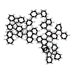 c1ccc(-c2ccccc2-c2ccc(N(c3ccc4c(c3)C3(c5ccccc5-c5ccccc53)c3ccccc3-4)c3c(-c4cccc(-c5cccc6c(-c7cccc(-c8cccc(-c9ccc(N(c%10ccc%11c(c%10)C%10(c%12ccccc%12-c%12ccccc%12%10)c%10ccccc%10-%11)c%10c(-c%11ccc(-c%12cccc%13ccccc%12%13)cc%11)c%11ccccc%11c%11ccccc%10%11)cc9)c8)c7)cccc56)c4)c4ccccc4c4ccccc34)cc2)cc1